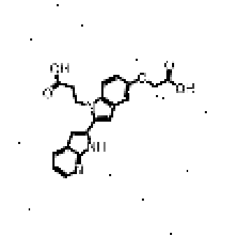 O=C(O)CCn1c(-c2cc3cccnc3[nH]2)cc2cc(OCC(=O)O)ccc21